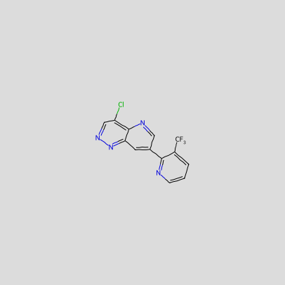 FC(F)(F)c1cccnc1-c1cnc2c(Cl)cnnc2c1